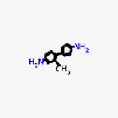 C=Cc1cc(N)ccc1-c1ccc(N)cc1